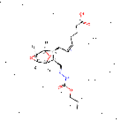 CCCOC(=O)NN=C[C@@H]1[C@H](C/C=C\CCCC(=O)O)[C@H]2O[C@@H]1[C@H]1O[C@H]12